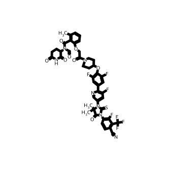 Cc1cccc(OCC(=O)N2CCC(Oc3c(F)cc(-c4ncc(N5C(=S)N(c6ccc(C#N)c(C(F)(F)F)c6F)C(=O)C5(C)C)cc4F)cc3F)CC2)c1C(=O)N(C=O)C1CCC(=O)NC1=O